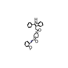 COc1ccccc1/C=C/C(=O)N1CCN(C(=O)Cc2c(-c3ccccc3)[nH]c3ccccc23)CC1